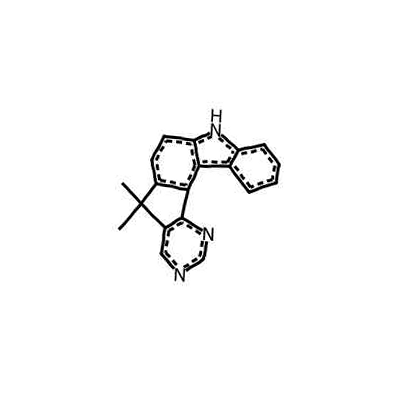 CC1(C)c2cncnc2-c2c1ccc1[nH]c3ccccc3c21